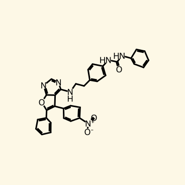 O=C(Nc1ccccc1)Nc1ccc(CCNc2ncnc3oc(-c4ccccc4)c(-c4ccc([N+](=O)[O-])cc4)c23)cc1